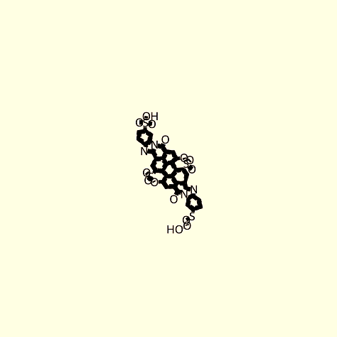 O=c1c2cc3c4c5c(cc6c7c(cc8c(c9c(cc(c2c49)c2nc4ccc(SOOO)cc4n12)S(=O)(=O)O8)c57)c(=O)n1c2cc(S(=O)(=O)O)ccc2nc61)S(=O)(=O)O3